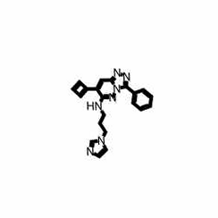 C1=CC(c2cc3nnc(-c4ccccc4)n3nc2NCCCn2ccnc2)=C1